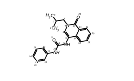 CC(C)Cn1cc(NC(=O)Nc2cccnc2)c2ccccc2c1=O